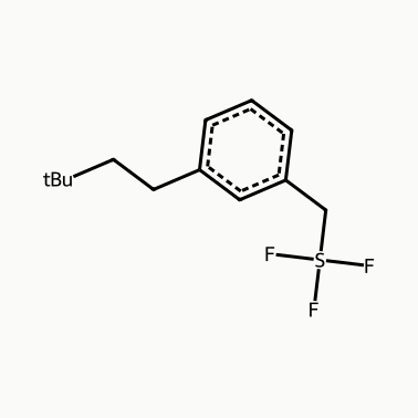 CC(C)(C)CCc1cccc(CS(F)(F)F)c1